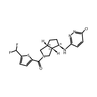 O=C(c1ccc(C(F)F)s1)N1C[C@@H]2CC[C@@H](Nc3ccc(Cl)nn3)[C@@H]2C1